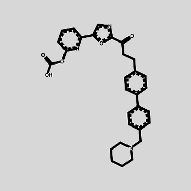 O=C(O)Oc1cccc(-c2cnc(C(=O)CCc3ccc(-c4ccc(CN5CCCCC5)cc4)cc3)o2)n1